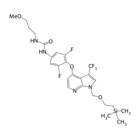 COCCCNC(=O)Nc1cc(F)c(Oc2ccnc3c2c(C(F)(F)F)cn3COCC[Si](C)(C)C)c(F)c1